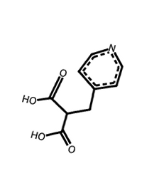 O=C(O)C(Cc1ccncc1)C(=O)O